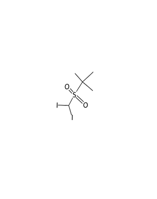 CC(C)(C)S(=O)(=O)C(I)I